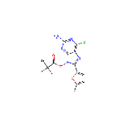 CCC(C)(C)C(=O)On1c(-c2ccc(C)o2)nc2c(Cl)nc(N)nc21